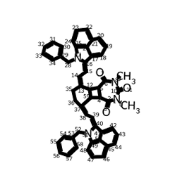 CN1C(=O)C2C(C(=O)N(C)C1=O)C1/C(=C\C=c3\c4cccc5cccc(c54)n3Cc3ccccc3)CC/C(=C/C=c3/c4cccc5cccc(c54)n3Cc3ccccc3)C21